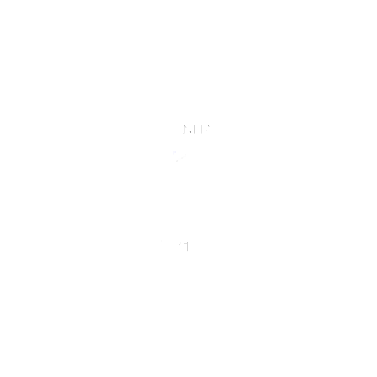 CCCCCCCCCCCCC/C=C/CNC(C)=O